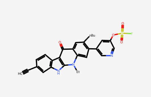 C#Cc1ccc2c(c1)[nH]c1c2c(=O)c2cc(CCCC)c(-c3cncc(OS(=O)(=O)F)c3)cc2n1CC